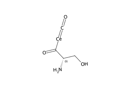 N[C@@H](CO)[C](=O)[Ce]=[C]=O